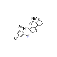 CNC(=O)c1ccccc1-c1cc2c(cn1)/C=C\c1cc(Cl)ccc1N(C(C)=O)C2